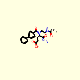 CC(=O)NCCN(C(=O)c1ccc(-c2ccccc2)cc1)[C@@H](CCC(=O)O)C(N)=O